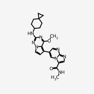 CNC(=O)c1cnc2ncc(-c3ccn4nc(NC5CCC6(CC5)CC6)nc(OC)c34)cn12